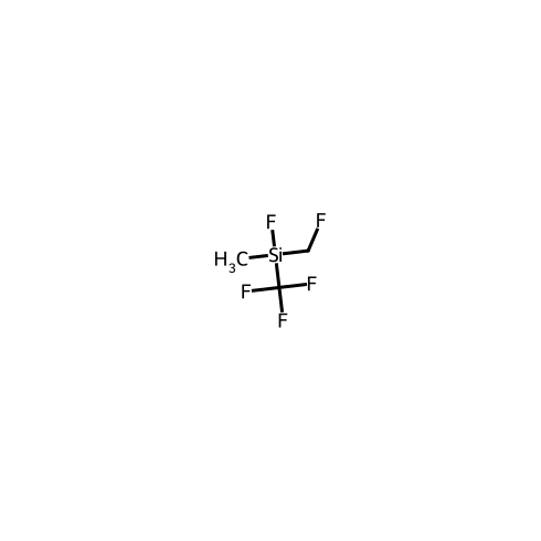 C[Si](F)(CF)C(F)(F)F